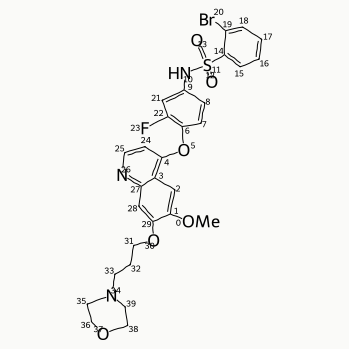 COc1cc2c(Oc3ccc(NS(=O)(=O)c4ccccc4Br)cc3F)ccnc2cc1OCCCN1CCOCC1